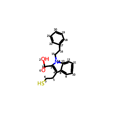 O=C(O)c1c(CCS)c2ccccc2n1CCc1ccccc1